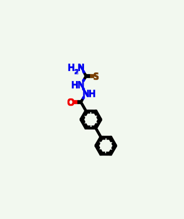 NC(=S)NNC(=O)c1ccc(-c2ccccc2)cc1